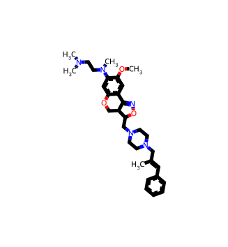 COc1cc2c(cc1N(C)CCN(C)C)OCC1C2=NOC1CN1CCN(C/C(C)=C/c2ccccc2)CC1